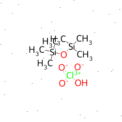 C[Si](C)(C)O[Si](C)(C)C.[O-][Cl+3]([O-])([O-])O